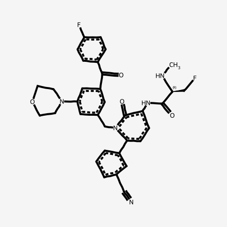 CN[C@@H](CF)C(=O)Nc1ccc(-c2cccc(C#N)c2)n(Cc2cc(C(=O)c3ccc(F)cc3)cc(N3CCOCC3)c2)c1=O